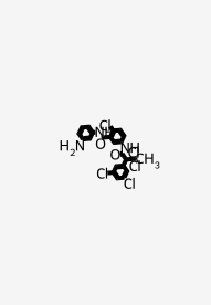 CC(Cl)(Cl)C(C(=O)Nc1ccc(Cl)c(C(=O)Nc2cccc(N)c2)c1)c1cc(Cl)cc(Cl)c1